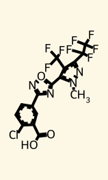 Cn1nc(C(F)(F)C(F)(F)F)c(C(F)(F)F)c1-c1nc(-c2ccc(Cl)c(C(=O)O)c2)no1